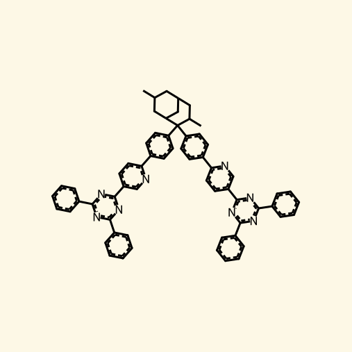 CC1CC2CC(C)C(c3ccc(-c4ccc(-c5nc(-c6ccccc6)nc(-c6ccccc6)n5)cn4)cc3)(c3ccc(-c4ccc(-c5nc(-c6ccccc6)nc(-c6ccccc6)n5)cn4)cc3)C(C1)C2